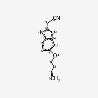 C=CCCOc1ccc2nc(CC#N)sc2c1